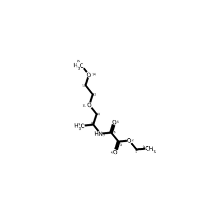 CCOC(=O)C(=O)NC(C)COCCOC